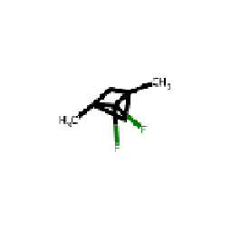 CC12CC(C)(C1)C2(F)F